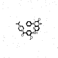 COc1cc(C(=O)N2CCN(C(C)C)CC2)ccc1Nc1ccc2c(n1)N(c1ccccc1)[C@H](C)C(=O)N2C